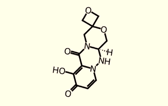 O=C1c2c(O)c(=O)ccn2N[C@@H]2COC3(COC3)CN12